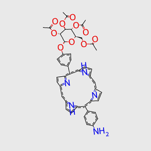 CC(=O)OC[C@H]1O[C@@H](Oc2ccc(-c3c4nc(cc5ccc([nH]5)c(-c5ccc(N)cc5)c5nc(cc6ccc3[nH]6)C=C5)C=C4)cc2)[C@H](OC(C)=O)[C@@H](OC(C)=O)[C@@H]1OC(C)=O